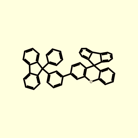 c1ccc(C2(c3cccc(-c4ccc5c(c4)Oc4ccccc4C54c5ccccc5-c5ccccc54)c3)c3ccccc3-c3ccccc32)cc1